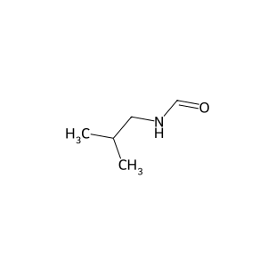 CC(C)CNC=O